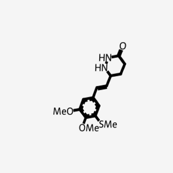 COc1cc(/C=C/C2CCC(=O)NN2)cc(SC)c1OC